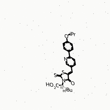 CC[C@@H](C)[C@@H](C(=O)O)N1C(=O)C(=Cc2ccc(-c3ccc(OC(C)C)cc3)nc2)SC1=S